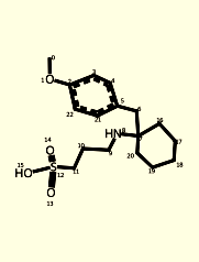 COc1ccc(CC2(NCCCS(=O)(=O)O)CCCCC2)cc1